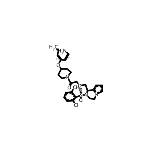 C=C/C=C(\C=C/N)OC1CCN(C(=O)COCC2c3cccn3CCN2S(=O)(=O)c2c(C)cccc2Cl)CC1